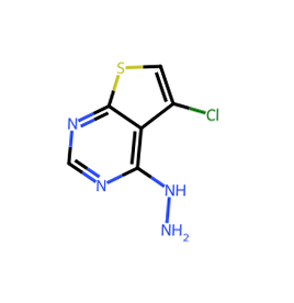 NNc1ncnc2scc(Cl)c12